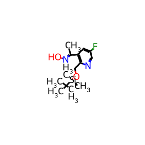 CC(=NO)c1cc(F)cnc1CO[Si](C)(C)C(C)(C)C